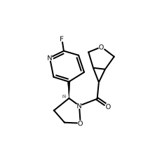 O=C(C1C2COCC21)N1OCC[C@H]1c1ccc(F)nc1